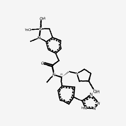 CN(C(=O)Cc1ccc2c(c1)N(C)S(O)(O)C2)[C@H](CN1CCC(O)C1)c1cccc(-c2nnn[nH]2)c1